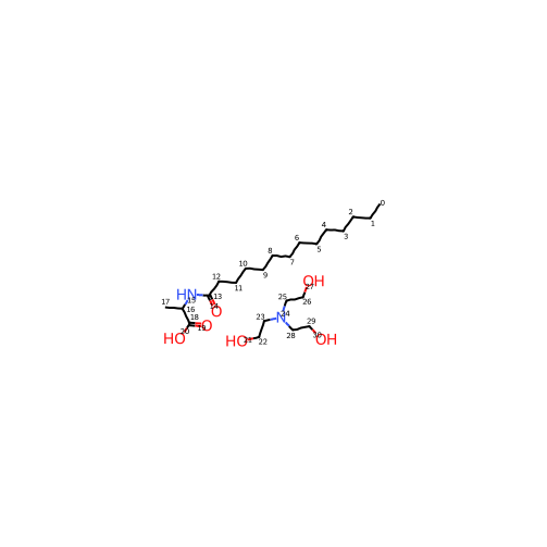 CCCCCCCCCCCCCC(=O)NC(C)C(=O)O.OCCN(CCO)CCO